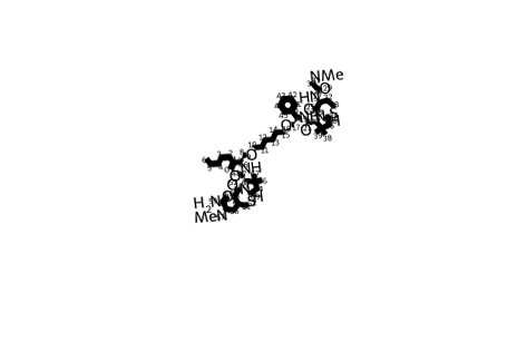 C=C(/C=C\C=C/C)[C@@H](COCCCCCCOC[C@@H](NC(=O)[C@H]1N2C(=O)[C@@H](NC(=O)CNC)CCS[C@H]2CC1(C)C)c1ccccc1)NC(=O)[C@H]1N2C(=O)CC(C[C@H](NC)C(N)=O)CS[C@H]2CC1(C)C